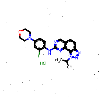 CC(C)n1nnc2ccc3cnc(Nc4ccc(N5CCOCC5)cc4F)nc3c21.Cl